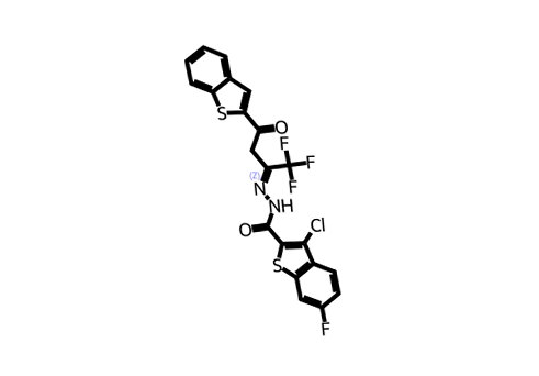 O=C(C/C(=N/NC(=O)c1sc2cc(F)ccc2c1Cl)C(F)(F)F)c1cc2ccccc2s1